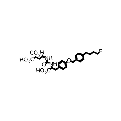 O=C(O)CCC(NC(=O)NC(Cc1ccc(OCc2ccc(CCCCF)cc2)cc1)C(=O)O)C(=O)O